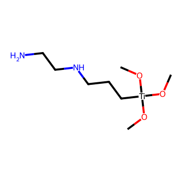 C[O][Ti]([CH2]CCNCCN)([O]C)[O]C